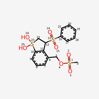 CS(=O)(=O)OCc1cccc2c1C(S(=O)(=O)c1ccccc1)CS2(O)O